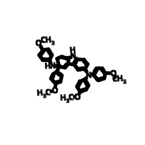 COc1ccc(NC2(c3ccc(OC)cc3)C=c3c([nH]c4ccc(N(c5ccc(OC)cc5)c5ccc(OC)cc5)cc34)=CC2)cc1